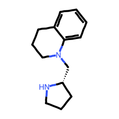 c1ccc2c(c1)CCCN2C[C@@H]1CCCN1